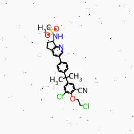 CC(C)(c1ccc(-c2cnc3c(c2)CCC3NS(C)(=O)=O)cc1)c1cc(Cl)c(OCCCl)c(C#N)c1